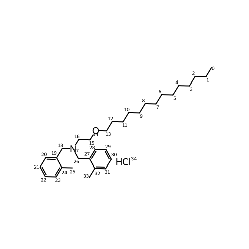 CCCCCCCCCCCCCCOCCN(Cc1ccccc1C)Cc1ccccc1C.Cl